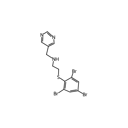 Brc1cc(Br)c(SCCNCc2cncnc2)c(Br)c1